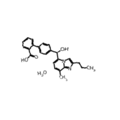 CCCc1cn2c([C@H](O)c3ccc(-c4ccccc4C(=O)O)cc3)ccc(C)c2n1.O